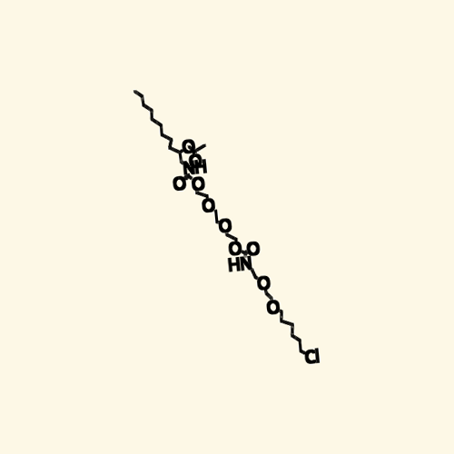 CCCCCCCCCC(CNC(=O)OCCOCCOCCOC(=O)NCCOCCOCCCCCCCl)OC(C)=O